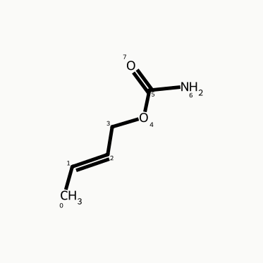 CC=CCOC(N)=O